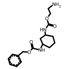 NCCOC(=O)NC1CCCC(NC(=O)OCc2ccccc2)C1